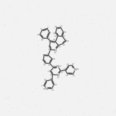 c1ccc(-c2cc(-c3cccc(-c4cc(-c5ccncc5)nc(-c5ccncc5)n4)c3)nc3ccc4ccccc4c23)cc1